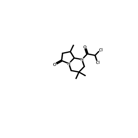 CC1CC(=O)N2CC(C)(C)CN(C(=O)C(Cl)Cl)C12